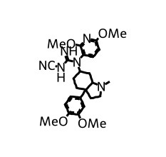 COc1ccc(N(C(=N)NC#N)C2CCC3(c4ccc(OC)c(OC)c4)CCN(C)C3C2)c(OC)n1